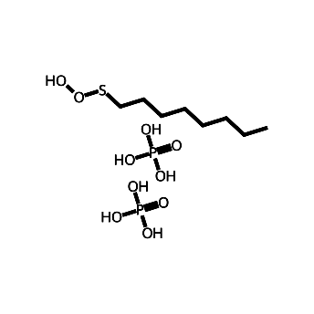 CCCCCCCCSOO.O=P(O)(O)O.O=P(O)(O)O